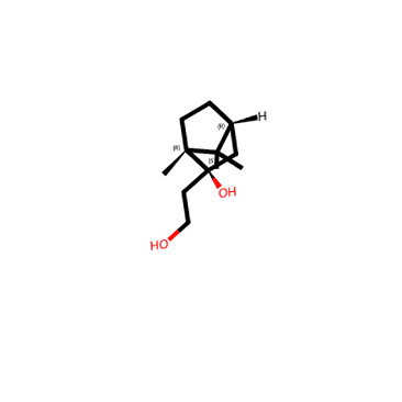 CC1(C)[C@@H]2CC[C@@]1(C)[C@@](O)(CCO)C2